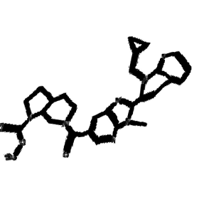 Cn1c(-c2cc3cccnc3n2CC2CC2)nc2cc(C(=O)N3CCC4CCN(C(=O)OC(C)(C)C)C4C3)cnc21